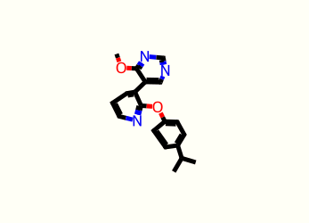 COc1ncncc1-c1cccnc1Oc1ccc(C(C)C)cc1